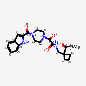 CNC(=O)C1(CNC(=O)C(=O)N2CCN(C(=O)c3cc4ccccc4[nH]3)CC2)CCC1